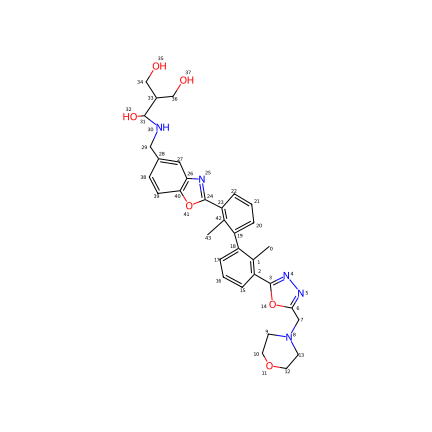 Cc1c(-c2nnc(CN3CCOCC3)o2)cccc1-c1cccc(-c2nc3cc(CNC(O)C(CO)CO)ccc3o2)c1C